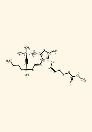 CCCCC(O)(C#C[Si](C)(C)C)C/C=C/[C@@H]1[C@@H](C/C=C\CCCC(=O)OC)[C@H](O)C[C@H]1O